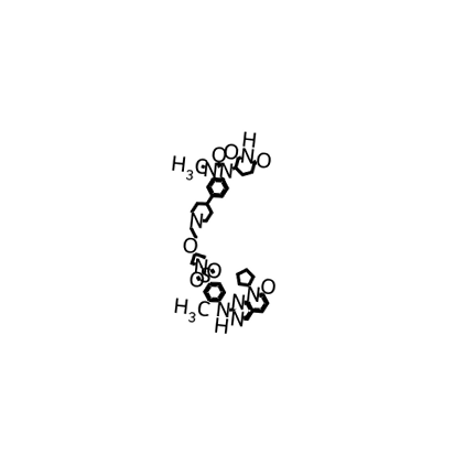 Cc1cc(S(=O)(=O)N2CC(OCCN3CCC(c4ccc5c(c4)n(C)c(=O)n5C4CCC(=O)NC4=O)CC3)C2)ccc1Nc1ncc2ccc(=O)n(C3CCCC3)c2n1